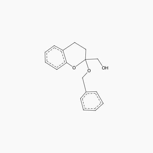 OCC1(OCc2ccccc2)CCc2ccccc2O1